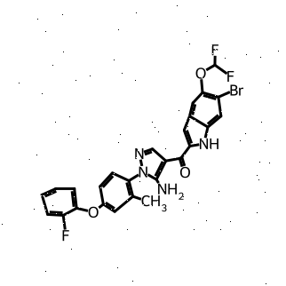 Cc1cc(Oc2ccccc2F)ccc1-n1ncc(C(=O)c2cc3cc(OC(F)F)c(Br)cc3[nH]2)c1N